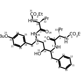 CCOC(=O)N[C@H](C(=O)NC(Cc1ccccc1)C(O)CN(Cc1ccc(OCC(C)C)cc1)NC(=O)[C@@H](NC(=O)OCC)C(C)C)C(C)C